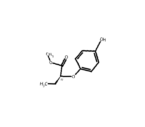 CC[C@H](Oc1ccc(O)cc1)C(=O)OC